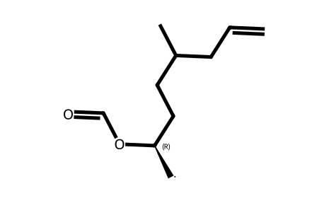 [CH2][C@H](CCC(C)CC=C)OC=O